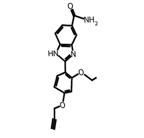 C#CCOc1ccc(-c2nc3cc(C(N)=O)ccc3[nH]2)c(OCC)c1